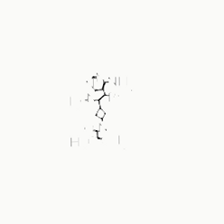 C=C(C)C(=O)NC1CC(c2c(Br)c3c(N)ncnc3n2C)C1